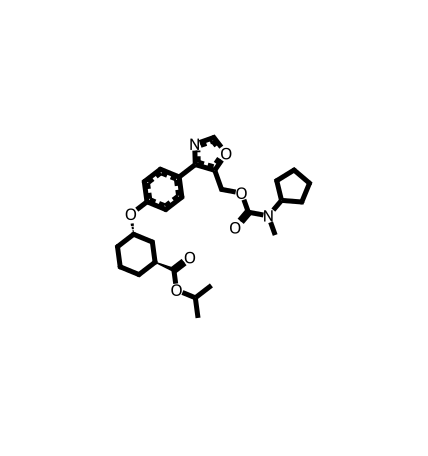 CC(C)OC(=O)[C@H]1CCC[C@H](Oc2ccc(-c3ncoc3COC(=O)N(C)C3CCCC3)cc2)C1